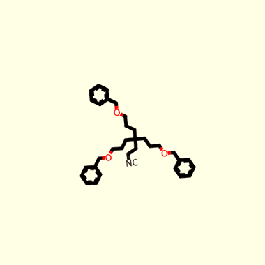 [C-]#[N+]CCC(CCCOCc1ccccc1)(CCCOCc1ccccc1)CCCOCc1ccccc1